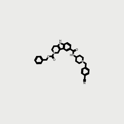 N#Cc1ccc(CN2CCC(NC(=O)c3ccc4[nH]c5c(c4c3)CN(C(=O)OCc3ccccc3)CC5)CC2)cc1